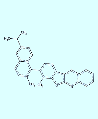 Cc1c(-c2c3ccc(C(C)C)cc3cc[n+]2C)ccc2c1oc1nc3ccccc3cc12